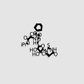 CC(C)OC(=O)[C@H](C)NP(=O)(OC[C@H]1O[C@@H](n2ccc(=O)[nH]c2=S)[C@@](O)(C(F)(F)F)C1O)Oc1ccccc1